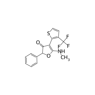 CNC1=C(c2sccc2C(F)(F)F)C(=O)C(c2ccccc2)O1